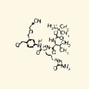 C#CCOCc1cc(NC(=O)[C@H](CCCNC(N)=O)NC(=O)[C@@H](NC(=O)OC(C)(C)C)C(C)C)ccc1CCl